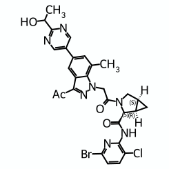 CC(=O)c1nn(CC(=O)N2C[C@H]3C[C@H]3[C@H]2C(=O)Nc2nc(Br)ccc2Cl)c2c(C)cc(-c3cnc(C(C)O)nc3)cc12